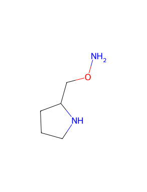 NOCC1CCCN1